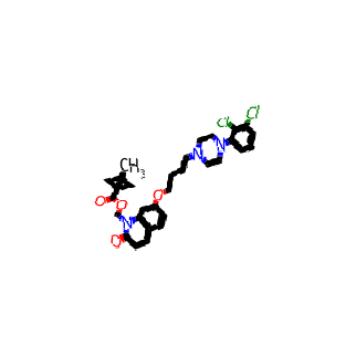 CC12CC1(C(=O)OCN1C(=O)CCc3ccc(OCCCCN4CCN(c5cccc(Cl)c5Cl)CC4)cc31)C2